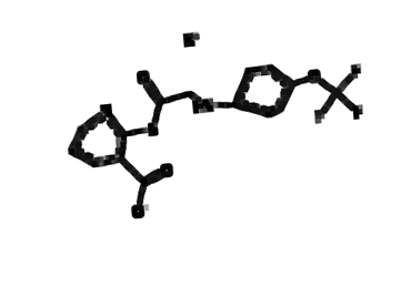 O=C(CNc1ccc(OC(F)(F)F)cc1)Sc1ncccc1C(=O)[O-].[K+]